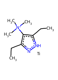 CCc1n[nH]c(CC)c1[N+](C)(C)C.[Ti]